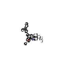 C=Cc1c(/C=C\C)n(-c2ccccc2)c2c1ccc1c3cc(-c4ccc5c(c4)c4ccccc4n5-c4ccc5ccccc5c4)ccc3n(-c3ccc(-c4ccccc4)cc3)c12